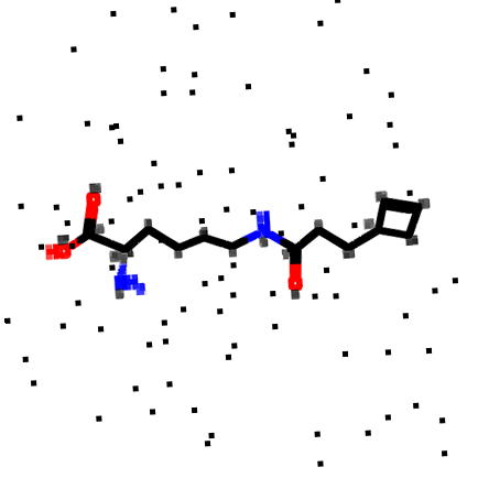 N[C@@H](CCCCNC(=O)CCC1C=CC1)C(=O)O